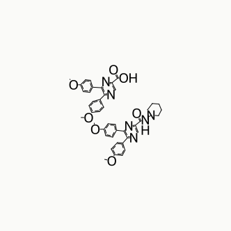 COc1ccc(-c2ncc(C(=O)NN3CCCCC3)nc2-c2ccc(OC)cc2)cc1.COc1ccc(-c2ncc(C(=O)O)nc2-c2ccc(OC)cc2)cc1